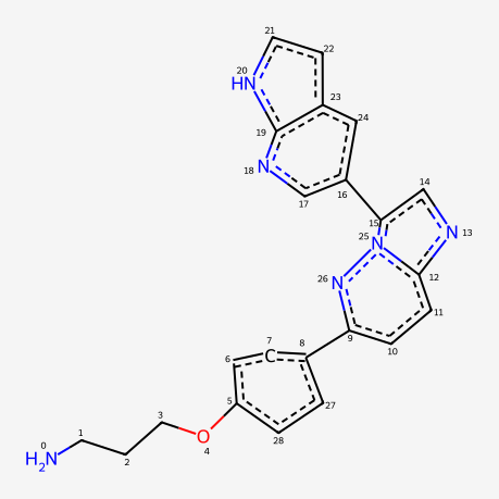 NCCCOc1ccc(-c2ccc3ncc(-c4cnc5[nH]ccc5c4)n3n2)cc1